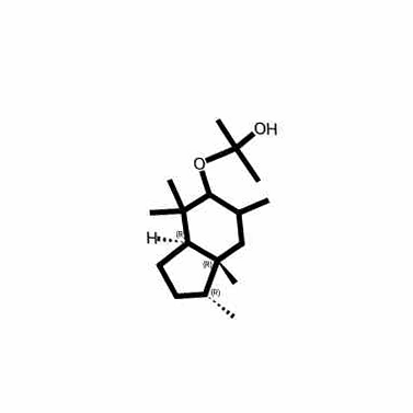 CC1C[C@]2(C)[C@H](C)CC[C@H]2C(C)(C)C1OC(C)(C)O